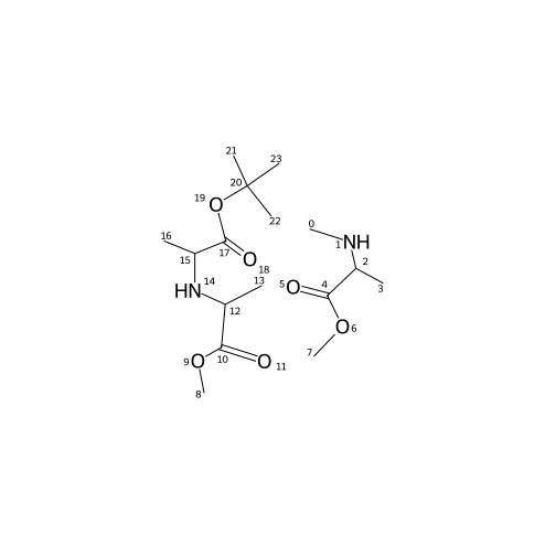 CNC(C)C(=O)OC.COC(=O)C(C)NC(C)C(=O)OC(C)(C)C